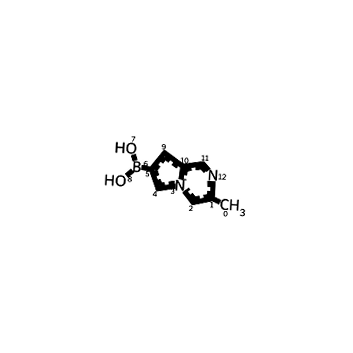 Cc1cn2cc(B(O)O)cc2cn1